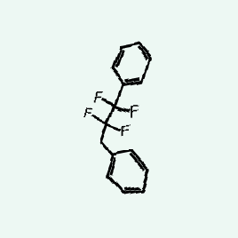 FC(F)(Cc1ccccc1)C(F)(F)c1ccccc1